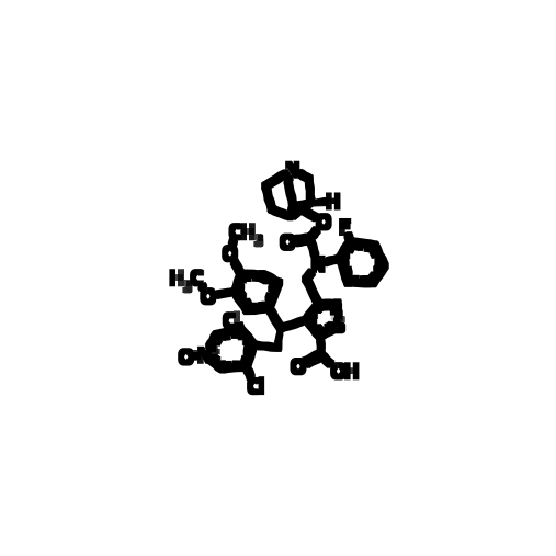 COc1ccc([C@H](Cc2c(Cl)c[n+]([O-])cc2Cl)c2c(CN(C(=O)O[C@H]3CN4CCC3CC4)c3ccccc3F)csc2C(=O)O)cc1OC